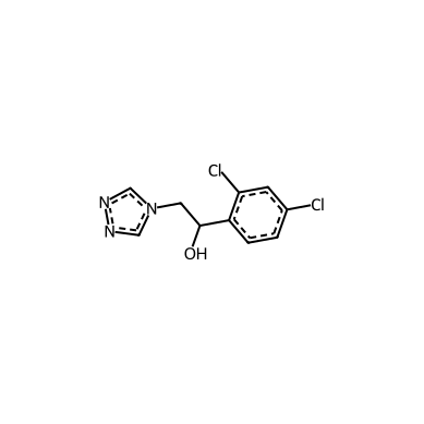 OC(Cn1cnnc1)c1ccc(Cl)cc1Cl